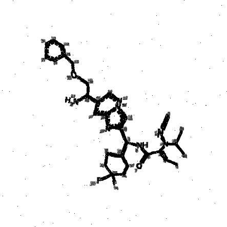 C=NN(/C(=C\C)C(=O)N[C@H](c1cn2ncc(C(N)COCc3ccccc3)cc2n1)C1CCC(F)(F)CC1)C(C)C